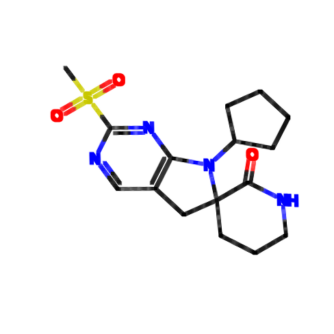 CS(=O)(=O)c1ncc2c(n1)N(C1CCCC1)C1(CCCNC1=O)C2